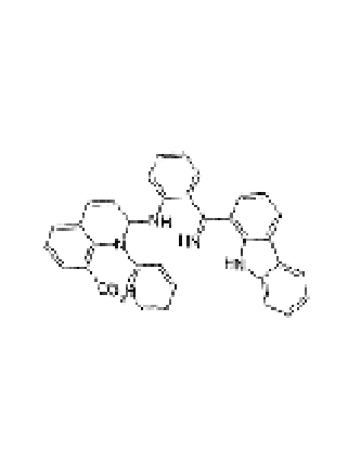 N=C(c1ccccc1NC1C=Cc2cccc(C(=O)O)c2N1c1ccccc1)c1cccc2c1[nH]c1ccccc12